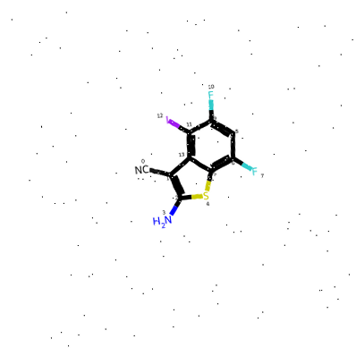 N#Cc1c(N)sc2c(F)cc(F)c(I)c12